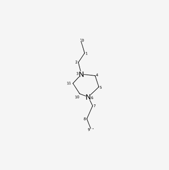 [CH2]CCN1CCN(CC[CH2])CC1